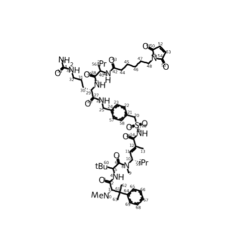 CN[C@H](C(=O)NC(C(=O)N(C)[C@H](/C=C(\C)C(=O)NS(=O)(=O)Cc1ccc(CNC(=O)[C@H](CCCNC(N)=O)NC(=O)C(NC(=O)CCCCCN2C(=O)C=CC2=O)C(C)C)cc1)C(C)C)C(C)(C)C)C(C)(C)c1ccccc1